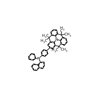 CC1(C)c2cccc3c2N2c4c1cccc4C(C)(C)c1cc(-c4ccc(N(c5ccccc5)c5cccc6ccccc56)cc4)cc(c12)C3(C)C